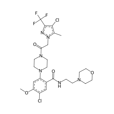 COc1cc(N2CCN(C(=O)Cn3nc(C(F)(F)F)c(Cl)c3C)CC2)c(C(=O)NCCN2CCOCC2)cc1Cl